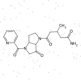 CC(CC(N)=O)CC(=O)N1CCC2C1C(=O)CN2C(=O)c1ccccn1